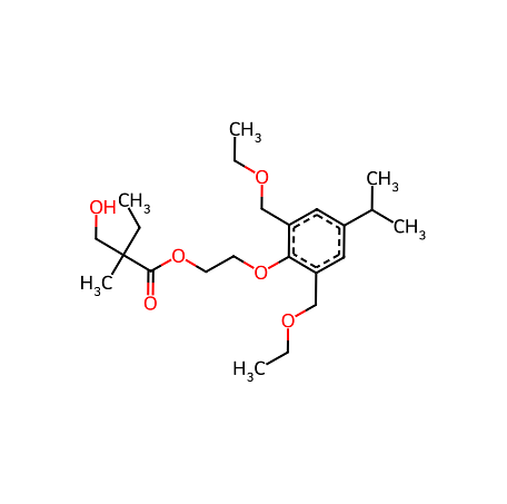 CCOCc1cc(C(C)C)cc(COCC)c1OCCOC(=O)C(C)(CC)CO